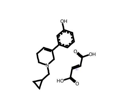 O=C(O)/C=C/C(=O)O.Oc1cccc(C2=CCCN(CC3CC3)C2)c1